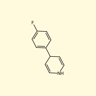 Fc1ccc(C2C=CNC=C2)cc1